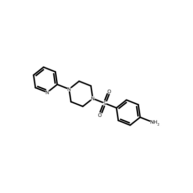 Nc1ccc(S(=O)(=O)N2CCN(c3ccccn3)CC2)cc1